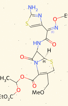 CCO/N=C(/C(=O)NC1C(=O)N2C(C(=O)OC(C)OC(=O)OCC)=C(COC)CS[C@H]12)c1csc(N)n1